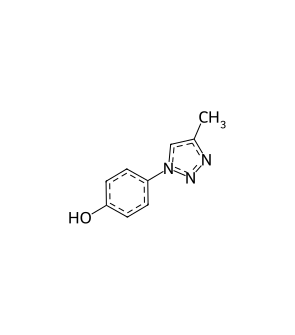 Cc1cn(-c2ccc(O)cc2)nn1